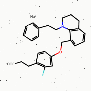 O=C([O-])CCc1ccc(OCc2cccc3c2N(CCc2ccccc2)CCC3)cc1F.[Na+]